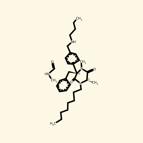 CCCCCCCCN1C(=O)[C@](Cc2ccccc2)(c2ccc(CNCCCC)cc2)N(C)C(=O)[C@@H]1C.CNC=O